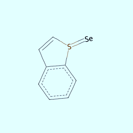 [Se]=S1C=Cc2ccccc21